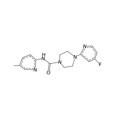 Cc1ccc(NC(=O)N2CCN(c3cc(F)ccn3)CC2)nc1